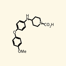 COc1ccc(Oc2ccc(NC3CCN(C(=O)O)CC3)cc2)cc1